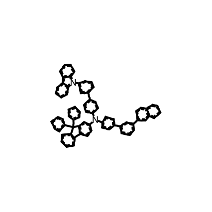 c1ccc(C2(c3ccccc3)c3ccccc3-c3ccc(N(c4ccc(-c5cccc(-c6ccc7ccccc7c6)c5)cc4)c4ccc(-c5cccc(-n6c7ccccc7c7ccccc76)c5)cc4)cc32)cc1